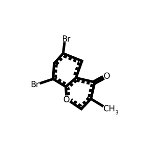 Cc1coc2c(Br)cc(Br)cc2c1=O